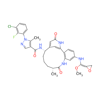 CO/C(Nc1ccc2c(c1)NC(=O)[C@H](C)CCC[C@H](NC(=O)c1cnn(-c3cccc(Cl)c3F)c1C)c1cc-2[nH]c(=O)c1)=C1/CO1